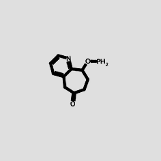 O=C1CCC(OP)c2ncccc2C1